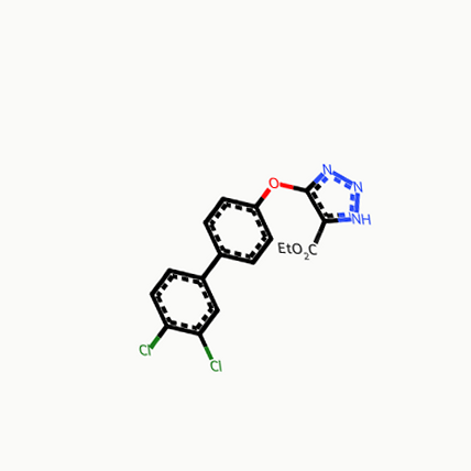 CCOC(=O)c1[nH]nnc1Oc1ccc(-c2ccc(Cl)c(Cl)c2)cc1